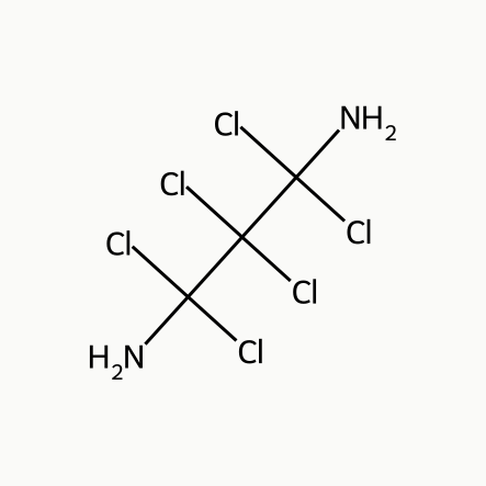 NC(Cl)(Cl)C(Cl)(Cl)C(N)(Cl)Cl